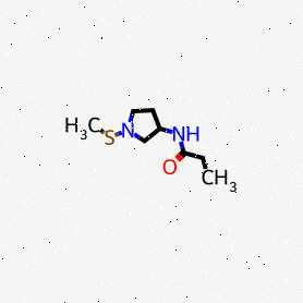 CCC(=O)NC1CCN(SC)C1